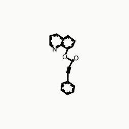 O=C(C#Cc1ccccc1)Oc1cccc2cccnc12